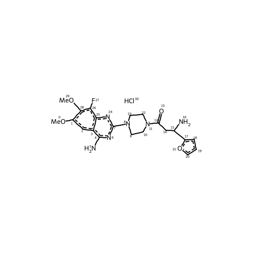 COc1cc2c(N)nc(N3CCN(C(=O)CC(N)c4ccco4)CC3)nc2c(F)c1OC.Cl